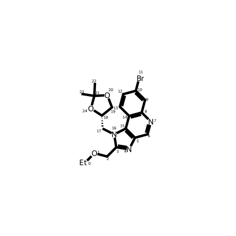 CCOCc1nc2cnc3cc(Br)ccc3c2n1C[C@H]1COC(C)(C)O1